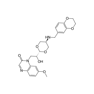 COc1ccc2ncc(=O)n(CC(O)[C@H]3OC[C@H](NCc4ccc5c(c4)OCCO5)CO3)c2c1